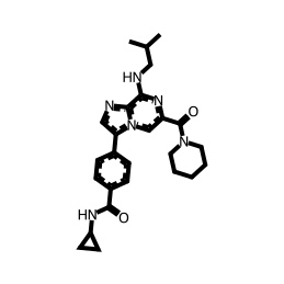 CC(C)CNc1nc(C(=O)N2CCCCC2)cn2c(-c3ccc(C(=O)NC4CC4)cc3)cnc12